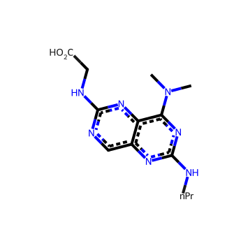 CCCNc1nc(N(C)C)c2nc(NCC(=O)O)ncc2n1